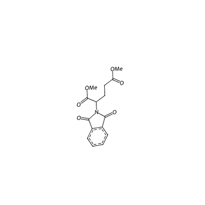 COC(=O)CCC(C(=O)OC)N1C(=O)c2ccccc2C1=O